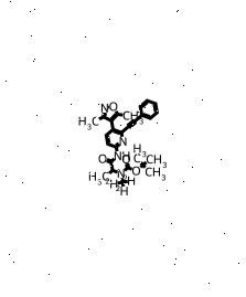 [2H]C([2H])([2H])N(C(=O)OC(C)(C)C)C(C)C(=O)Nc1ccc(-c2c(C)noc2C)c(C#Cc2ccccc2)n1